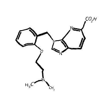 CN(C)CCOc1ccccc1Cn1cnc2ccc(C(=O)O)nc21